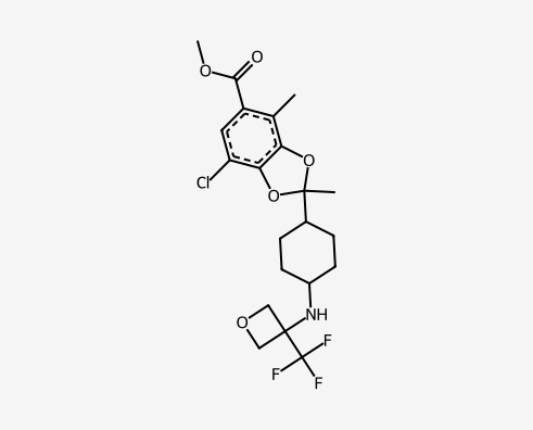 COC(=O)c1cc(Cl)c2c(c1C)OC(C)(C1CCC(NC3(C(F)(F)F)COC3)CC1)O2